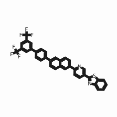 FC(F)(F)c1cc(-c2ccc(-c3ccc4cc(-c5ccc(-c6nc7ccccc7s6)cn5)ccc4c3)cc2)cc(C(F)(F)F)c1